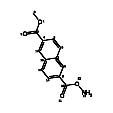 COC(=O)c1ccc2cc(C(=O)ON)ccc2c1